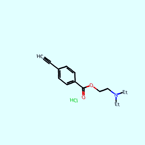 C#Cc1ccc(C(=O)OCCN(CC)CC)cc1.Cl